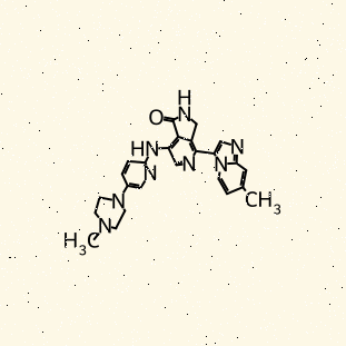 Cc1ccn2c(-c3ncc(Nc4ccc(N5CCN(C)CC5)cn4)c4c3CNC4=O)cnc2c1